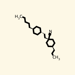 CCCCC[C@H]1CC[C@H](CC[C@]2(C#N)CC[C@H](CCC)CC2)CC1